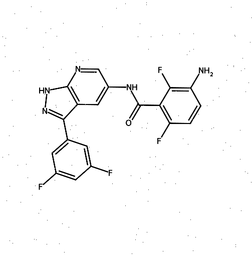 Nc1ccc(F)c(C(=O)Nc2cnc3[nH]nc(-c4cc(F)cc(F)c4)c3c2)c1F